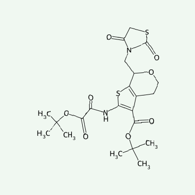 CC(C)(C)OC(=O)C(=O)Nc1sc2c(c1C(=O)OC(C)(C)C)CCOC2CN1C(=O)CSC1=O